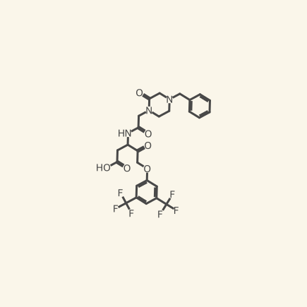 O=C(O)CC(NC(=O)CN1CCN(Cc2ccccc2)CC1=O)C(=O)COc1cc(C(F)(F)F)cc(C(F)(F)F)c1